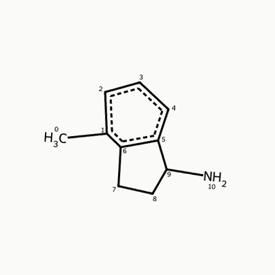 Cc1cccc2c1CCC2N